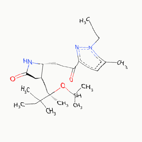 CCn1nc(C(=O)C[C@H]2NC(=O)[C@@H]2[C@@](C)(O[SiH](C)C)C(C)(C)C)cc1C